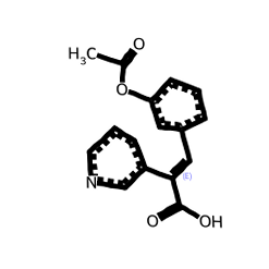 CC(=O)Oc1cccc(/C=C(/C(=O)O)c2cccnc2)c1